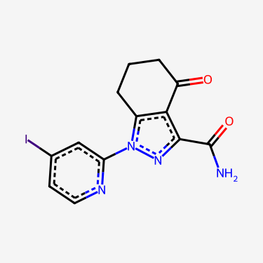 NC(=O)c1nn(-c2cc(I)ccn2)c2c1C(=O)CCC2